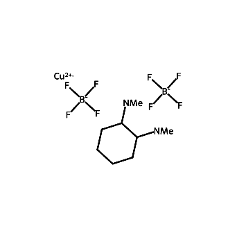 CNC1CCCCC1NC.F[B-](F)(F)F.F[B-](F)(F)F.[Cu+2]